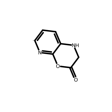 O=C1CNc2cc[c]nc2O1